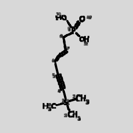 C[Si](C)(C)C#CC=CCP(=O)(O)O